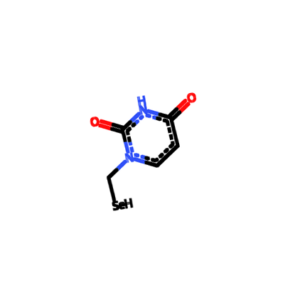 O=c1ccn(C[SeH])c(=O)[nH]1